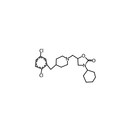 O=C1OC(CN2CCC(Cc3cc(Cl)ccc3Cl)CC2)CN1C1CCCCC1